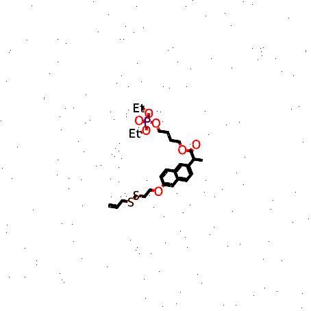 C=CCSSCCOc1ccc2cc(C(C)C(=O)OCCCCOP(=O)(OCC)OCC)ccc2c1